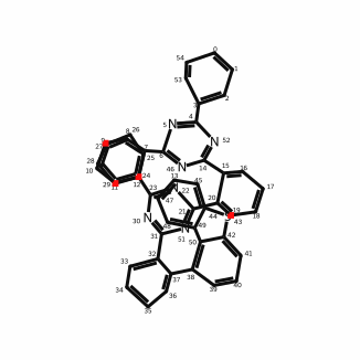 c1ccc(-c2nc(-c3ccccc3)nc(-c3ccccc3-c3nc(-c4ccccc4)nc(-c4ccccc4-c4cccc5sc6ccccc6c45)n3)n2)cc1